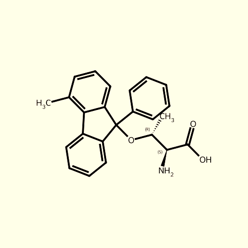 Cc1cccc2c1-c1ccccc1C2(O[C@H](C)[C@H](N)C(=O)O)c1ccccc1